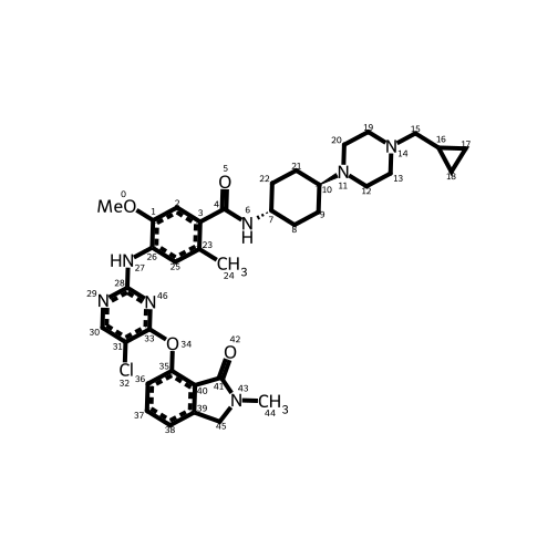 COc1cc(C(=O)N[C@H]2CC[C@H](N3CCN(CC4CC4)CC3)CC2)c(C)cc1Nc1ncc(Cl)c(Oc2cccc3c2C(=O)N(C)C3)n1